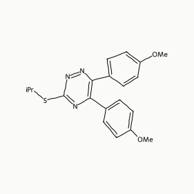 COc1ccc(-c2nnc(SC(C)C)nc2-c2ccc(OC)cc2)cc1